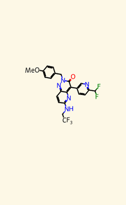 COc1ccc(Cn2nc3ccc(NCC(F)(F)F)nc3c(-c3ccc(C(F)F)nc3)c2=O)cc1